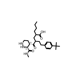 CCCCC(CC(CCc1ccc(C(C)(C)C)cc1)C(=O)[C@H]1CCNN[C@@H]1C(=O)NC)C(=O)O